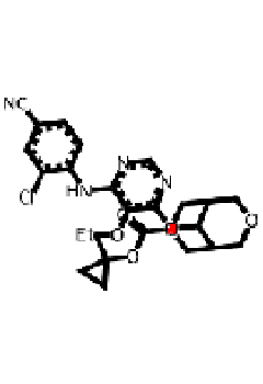 CCOc1c(Nc2ccc(C#N)cc2Cl)ncnc1OC1C2COCC1CN(C(=O)OC1(C)CC1)C2